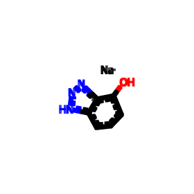 Oc1cccc2[nH]nnc12.[Na]